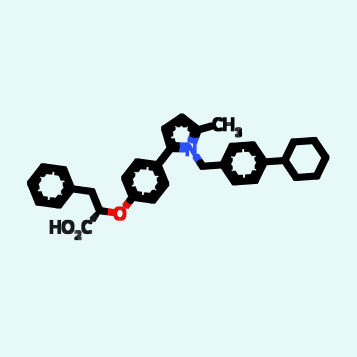 Cc1ccc(-c2ccc(O[C@H](Cc3ccccc3)C(=O)O)cc2)n1Cc1ccc(C2CCCCC2)cc1